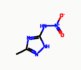 Cc1n[nH]c(N[N+](=O)[O-])n1